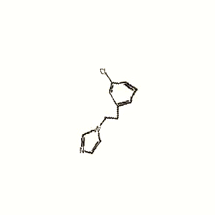 Clc1cccc(CCn2ccnc2)c1